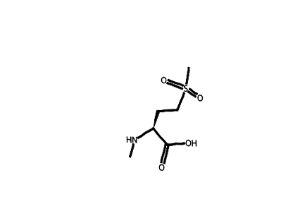 CN[C@@H](CCS(C)(=O)=O)C(=O)O